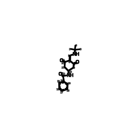 CC(C)(C)NC=C1C(=O)CC(NC(=O)c2ccccc2)CC1=O